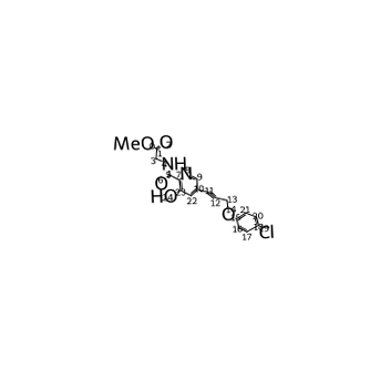 COC(=O)CNC(=O)c1ncc(C#CCOc2ccc(Cl)cc2)cc1O